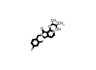 C[C@@H](O)[C@@H](C)Oc1nccc2c1C(=O)N(Cc1ccc(F)cc1F)C2